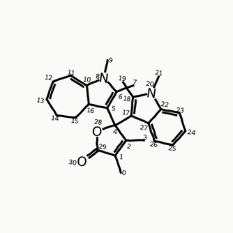 CC1=C(C)C(C2=C(C)N(C)C3=CC=CCCC32)(c2c(C)n(C)c3ccccc23)OC1=O